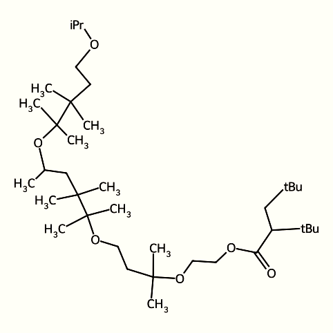 CC(C)OCCC(C)(C)C(C)(C)OC(C)CC(C)(C)C(C)(C)OCCC(C)(C)OCCOC(=O)C(CC(C)(C)C)C(C)(C)C